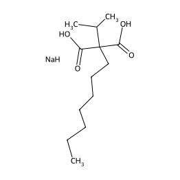 CCCCCCCC(C(=O)O)(C(=O)O)C(C)C.[NaH]